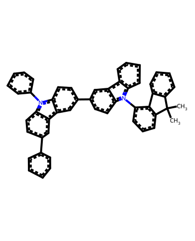 CC1(C)c2ccccc2-c2c(-n3c4ccccc4c4cc(-c5ccc6c(c5)c5cc(-c7ccccc7)ccc5n6-c5ccccc5)ccc43)cccc21